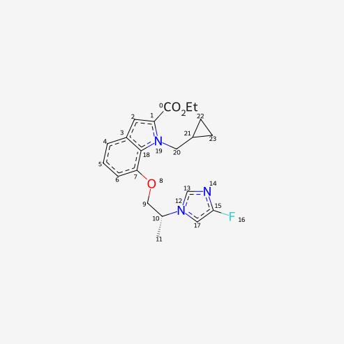 CCOC(=O)c1cc2cccc(OC[C@@H](C)n3cnc(F)c3)c2n1CC1CC1